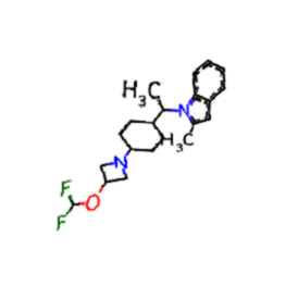 Cc1cc2ccccc2n1C(C)C1CCC(N2CC(OC(F)F)C2)CC1